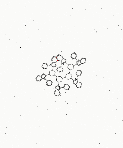 c1ccc(-n2c(C3CC(c4cc5ccccc5n4-c4ccccc4)CC(C4CC(c5cc6ccccc6n5-c5ccccc5)CC(C5CC(c6cc7ccccc7n6-c6ccccc6)CC(C6CC(c7cc8ccccc8n7-c7ccccc7)CC(c7cc8ccccc8n7-c7ccccc7)C6)C5)C4)C3)cc3ccccc32)cc1